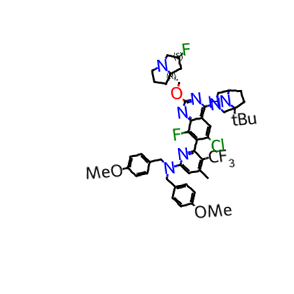 COc1ccc(CN(Cc2ccc(OC)cc2)c2cc(C)c(C(F)(F)F)c(-c3c(Cl)cc4c(N5CC6CCC(C(C)(C)C)(C5)N6)nc(OC[C@]56CCCN5C[C@@H](F)C6)nc4c3F)n2)cc1